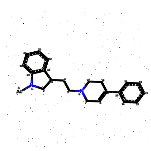 CC(=O)N1CC(CCN2CC=C(c3ccccc3)CC2)c2ccccc21